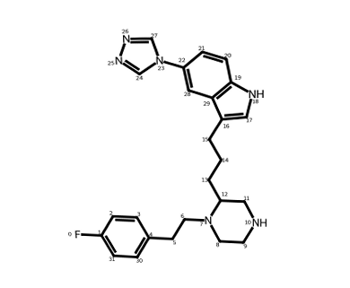 Fc1ccc(CCN2CCNCC2CCCc2c[nH]c3ccc(-n4cnnc4)cc23)cc1